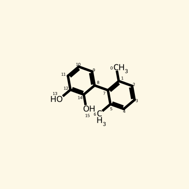 Cc1cccc(C)c1-c1cccc(O)c1O